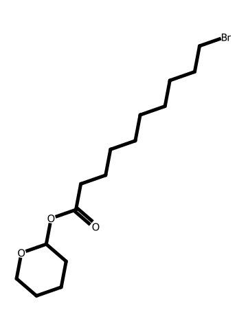 O=C(CCCCCCCCCBr)OC1CCCCO1